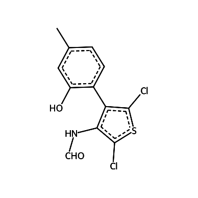 Cc1ccc(-c2c(Cl)sc(Cl)c2NC=O)c(O)c1